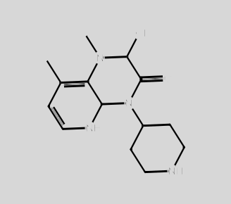 CC1=C2C(NC=C1)N(C1CCNCC1)C(=O)C(O)N2C